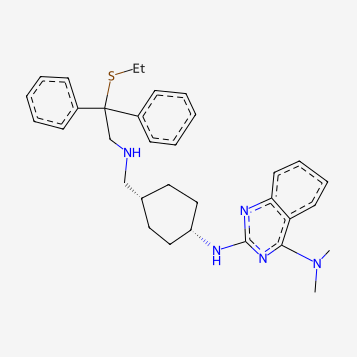 CCSC(CNC[C@H]1CC[C@@H](Nc2nc(N(C)C)c3ccccc3n2)CC1)(c1ccccc1)c1ccccc1